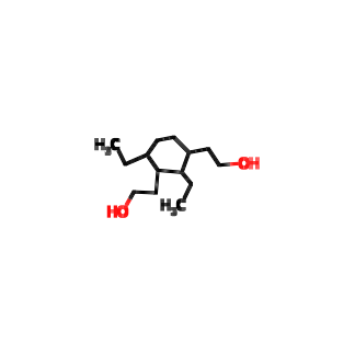 CCC1CCC(CCO)C(CC)C1CCO